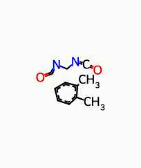 Cc1ccccc1C.O=C=NCN=C=O